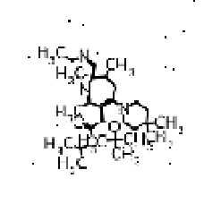 CC/N=C\[C@]1(C)N=C(C)C([C@H](OC(C)(C)C)C(=O)OC(C)C)=C(N2CCC(C)(C)CC2)CC1C